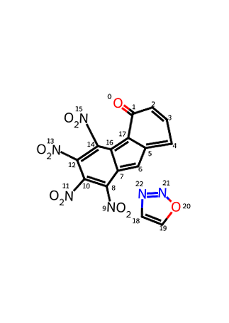 O=C1C=CC=C2C=c3c([N+](=O)[O-])c([N+](=O)[O-])c([N+](=O)[O-])c([N+](=O)[O-])c3=C12.c1conn1